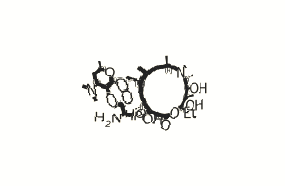 CC[C@H]1OC(=O)[C@H](C)C(O)(O)[C@H](C)C[C@@H](CO[C@@H]2O[C@H](C)C[C@H](N(C)C)C2OC(=O)C(N)C(C)C)C(C)C[C@@H](C)CN(C)[C@H](C)[C@@H](O)[C@]1(C)O